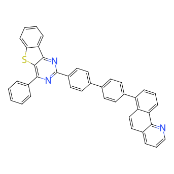 c1ccc(-c2nc(-c3ccc(-c4ccc(-c5cccc6c5ccc5cccnc56)cc4)cc3)nc3c2sc2ccccc23)cc1